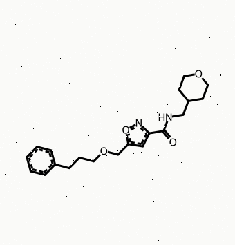 O=C(NCC1CCOCC1)c1cc(COCCCc2ccccc2)on1